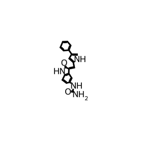 NC(=O)Nc1ccc2c(c1)C(=Cc1cc(-c3ccccc3)c[nH]1)C(=O)N2